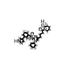 CC1CCCCN1C(=O)CCCc1cn(-c2ccccc2)c(NC(=O)c2cccc(-c3cn[nH]c3)c2)n1